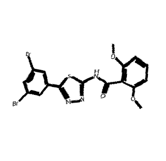 COc1cccc(OC)c1C(=O)Nc1nnc(-c2cc(Br)cc(Br)c2)s1